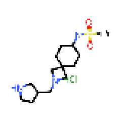 CC(C)S(=O)(=O)NC1CCC2(CC1)CN(CC1CCNC1)C2.Cl